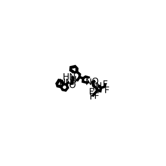 O=C(Cn1nc(C(F)F)cc1C(F)(F)F)N1CCC(C2Cc3ccccc3NN(C(=O)NC3CCCc4ccccc43)C2)CC1